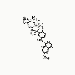 COc1cnc2c(Nc3ccc(F)c([C@]4(C)CS(=O)(=O)N(C)/C(=N\C(=O)OC(C)(C)C)N4)c3)ncnc2n1